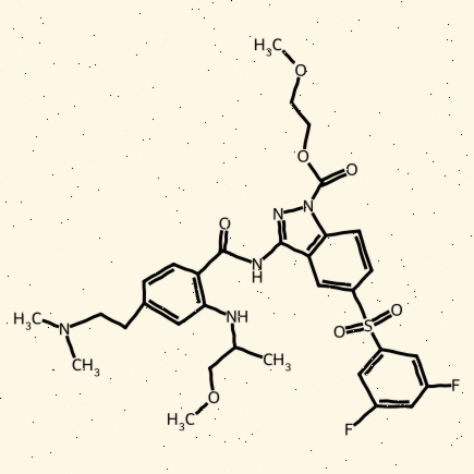 COCCOC(=O)n1nc(NC(=O)c2ccc(CCN(C)C)cc2NC(C)COC)c2cc(S(=O)(=O)c3cc(F)cc(F)c3)ccc21